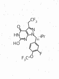 CC(C)[C@H](c1ccc(OC(F)(F)F)c(F)c1)n1nc(CC(F)(F)F)c2c(=O)[nH]c(O)nc21